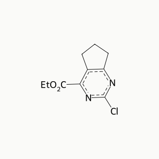 CCOC(=O)c1nc(Cl)nc2c1CCC2